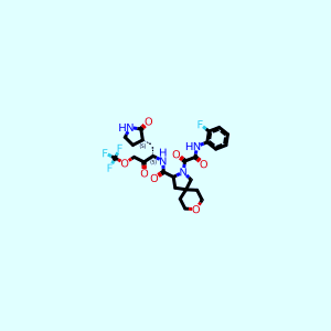 O=C(Nc1ccccc1F)C(=O)N1CC2(CCOCC2)CC1C(=O)N[C@@H](C[C@@H]1CCNC1=O)C(=O)COC(F)(F)F